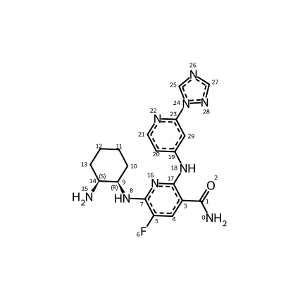 NC(=O)c1cc(F)c(N[C@@H]2CCCC[C@@H]2N)nc1Nc1ccnc(-n2cncn2)c1